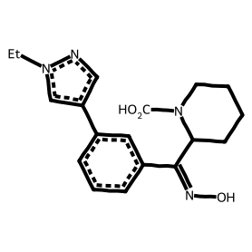 CCn1cc(-c2cccc(/C(=N/O)C3CCCCN3C(=O)O)c2)cn1